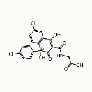 C[C@@]1(c2ccc(Cl)cc2)C(=O)C(C(=O)NCC(=O)O)=C(O)c2cc(Cl)ccc21